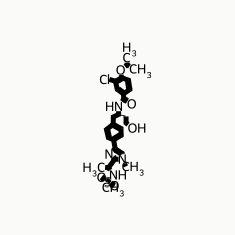 CC(C)Oc1ccc(C(=O)N[C@H](CCO)Cc2ccc(-c3cn(C)c(C(C)NS(C)(=O)=O)n3)cc2)cc1Cl